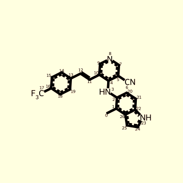 Cc1c(Nc2c(C#N)cncc2C=Cc2ccc(C(F)(F)F)cc2)ccc2[nH]ccc12